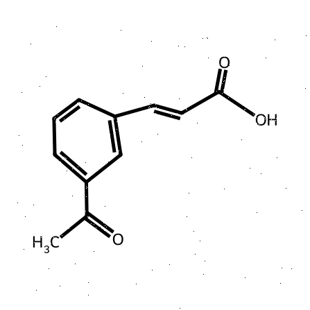 CC(=O)c1cccc(C=CC(=O)O)c1